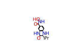 CC(C)[C@@H]1Nc2ccc(C(=O)NO)cc2NC1=O